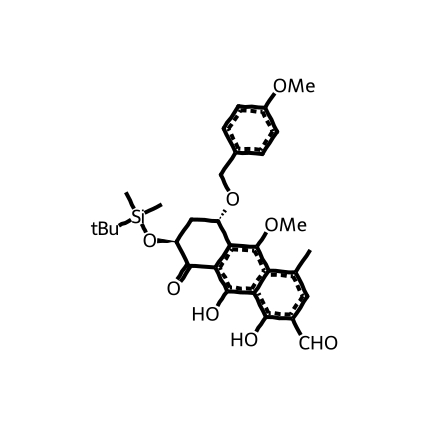 COc1ccc(CO[C@H]2C[C@H](O[Si](C)(C)C(C)(C)C)C(=O)c3c2c(OC)c2c(C)cc(C=O)c(O)c2c3O)cc1